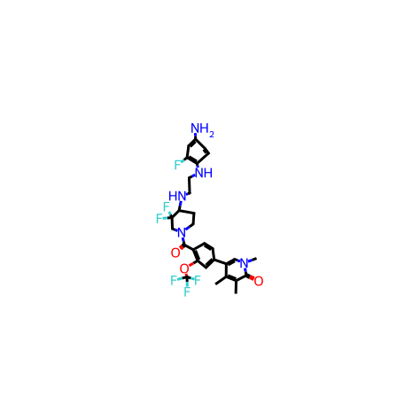 Cc1c(-c2ccc(C(=O)N3CCC(NCCNc4ccc(N)cc4F)C(F)(F)C3)c(OC(F)(F)F)c2)cn(C)c(=O)c1C